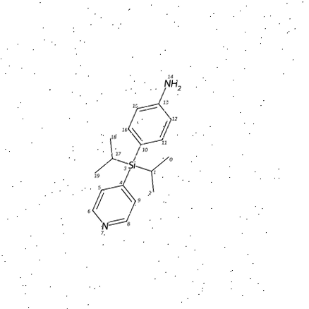 CC(C)[Si](c1ccncc1)(c1ccc(N)cc1)C(C)C